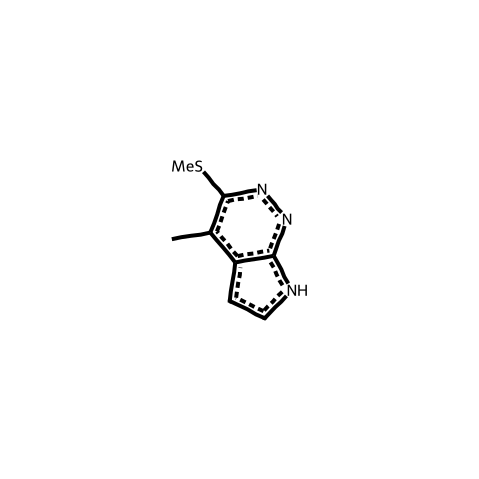 CSc1nnc2[nH]ccc2c1C